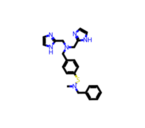 CN(Cc1ccccc1)Sc1ccc(CN(Cc2ncc[nH]2)Cc2ncc[nH]2)cc1